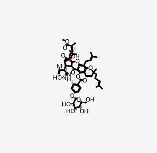 C=C(N)C(/C(N)=N\O)C1C2CC(C(C)C)C3(Oc4c(CC=C(C)C)c5c(c(OC(=O)c6ccc(O[C@H]7O[C@@H](CO)[C@H](O)[C@@H](O)[C@@H]7O)cc6)c4C(=O)C13)C=CC(C)(CCC=C(C)C)O5)C(O)(C/C=C(/C)C(=O)OC)C2=O